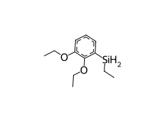 CCOc1cccc([SiH2]CC)c1OCC